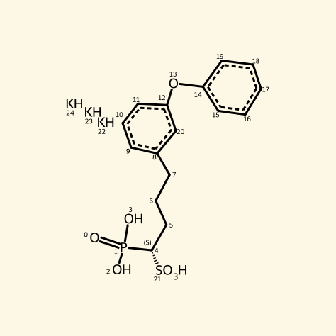 O=P(O)(O)[C@H](CCCc1cccc(Oc2ccccc2)c1)S(=O)(=O)O.[KH].[KH].[KH]